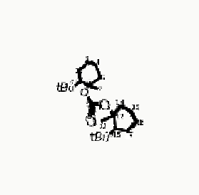 CC(C)(C)C1CCCCC1(C)OC(=O)OC1(C)CCCCC1C(C)(C)C